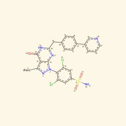 CCCC(C)c1nn(-c2c(Cl)cc(S(N)(=O)=O)cc2Cl)c2nc(Cc3ccc(-c4cccnc4)cc3)[nH]c(=O)c12